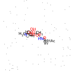 CC(=O)N[C@@H](CC(C)C)C(=O)NCCC(=O)O[C@@H](C)C(=O)OC1=CC[C@@]2(O)[C@H]3Cc4ccc(CO)c5c4[C@@]2(CCCN3C)[C@H]1O5